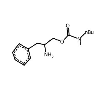 CCCCNC(=O)OCC(N)Cc1ccccc1